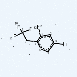 Fc1cc(I)ccc1CC(F)(F)F